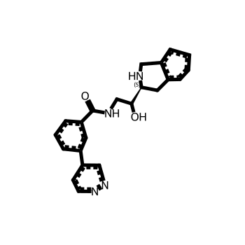 O=C(NCC(O)[C@@H]1Cc2ccccc2CN1)c1cccc(-c2ccnnc2)c1